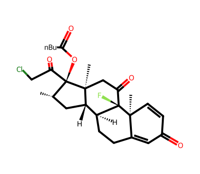 CCCCC(=O)O[C@]1(C(=O)CCl)[C@@H](C)C[C@H]2[C@@H]3CCC4=CC(=O)C=C[C@]4(C)[C@@]3(F)C(=O)C[C@@]21C